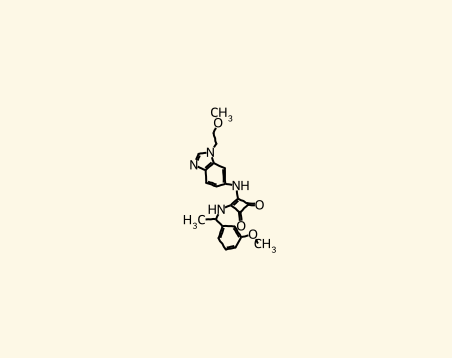 COCCn1cnc2ccc(Nc3c(NC(C)c4cccc(OC)c4)c(=O)c3=O)cc21